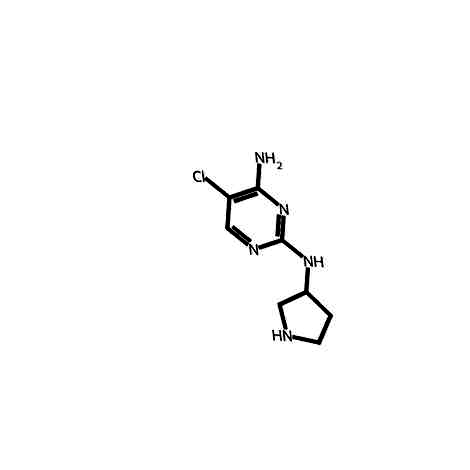 Nc1nc(NC2CCNC2)ncc1Cl